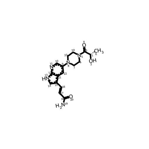 C[C@H](O)C(=O)N1CCN(c2cnc3[nH]cc(/C=C/C(N)=O)c3c2)CC1